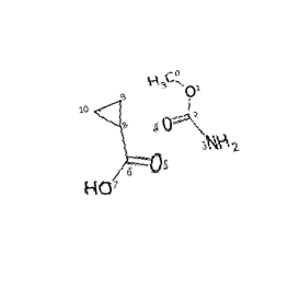 COC(N)=O.O=C(O)C1CC1